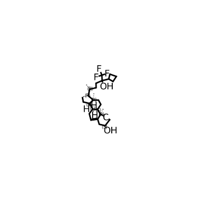 C[C@H](CCC(O)(C1CCC1)C(F)(F)F)[C@H]1CC[C@H]2[C@@H]3CC=C4C[C@@H](O)CC[C@]4(C)[C@H]3CC[C@]12C